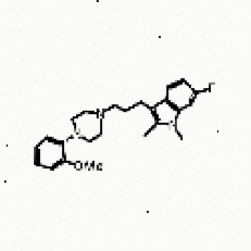 COc1ccccc1N1CCN(CCCc2c(C)n(C)c3cc(F)ccc23)CC1